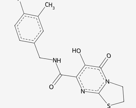 Cc1cc(CNC(=O)c2nc3n(c(=O)c2O)CCS3)ccc1F